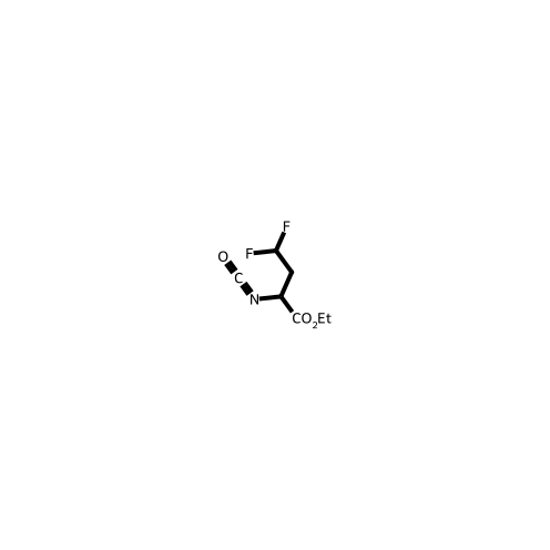 CCOC(=O)C(CC(F)F)N=C=O